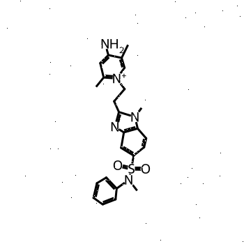 Cc1c[n+](CCc2nc3cc(S(=O)(=O)N(C)c4ccccc4)ccc3n2C)c(C)cc1N